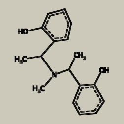 CC(c1ccccc1O)N(C)C(C)c1ccccc1O